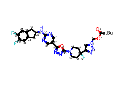 CC(C)(C)C(=O)OCn1cc(C2(F)CCN(c3nnc(-c4cnc(NC5Cc6cc(F)c(F)cc6C5)nc4)o3)CC2)nn1